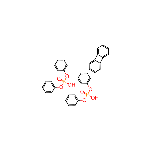 O=P(O)(Oc1ccccc1)Oc1ccccc1.O=P(O)(Oc1ccccc1)Oc1ccccc1.c1ccc2c(c1)-c1ccccc1-2